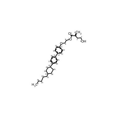 C=C(CCO)C(=O)OCCOc1ccc(-c2ccc(C3CCC(CCCCC)CC3)cc2)cc1